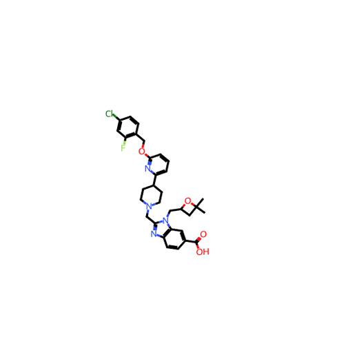 CC1(C)CC(Cn2c(CN3CCC(c4cccc(OCc5ccc(Cl)cc5F)n4)CC3)nc3ccc(C(=O)O)cc32)O1